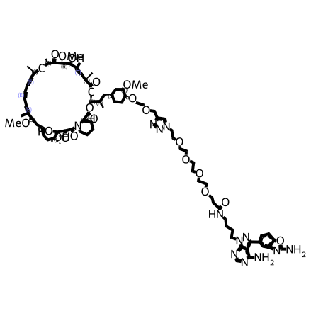 CO[C@H]1C[C@@H]2CC[C@@H](C)[C@@](O)(O2)C(=O)C(=O)N2CCCC[C@H]2C(=O)O[C@H]([C@H](C)C[C@@H]2CC[C@@H](OCCOCc3cn(CCOCCOCCOCCOCCC(=O)NCCCCn4nc(-c5ccc6oc(N)nc6c5)c5c(N)ncnc54)nn3)[C@H](OC)C2)CC(=O)[C@H](C)/C=C(\C)[C@@H](O)[C@@H](OC)C(=O)[C@H](C)C[C@H](C)/C=C/C=C/C=C/1C